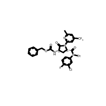 CCN(C(=O)[C@@H]1C[C@H](NC(=O)OCc2ccccc2)C(=O)N1c1cc(C(F)(F)F)cc(C)n1)c1ccc(F)c(Cl)c1